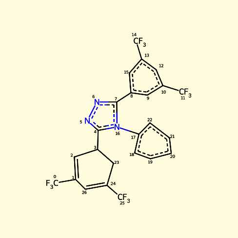 FC(F)(F)C1=CC(c2nnc(-c3cc(C(F)(F)F)cc(C(F)(F)F)c3)n2-c2ccccc2)CC(C(F)(F)F)=C1